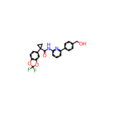 O=C(Nc1cccc(-c2ccc(CO)cc2)n1)C1(c2ccc3c(c2)OC(F)(F)O3)CC1